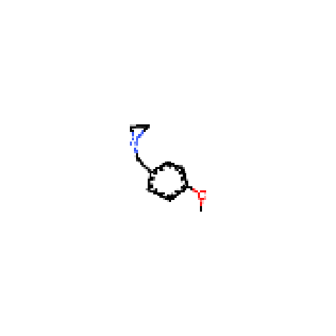 COc1ccc(CN2CC2)cc1